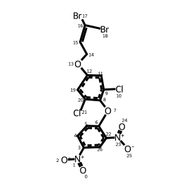 O=[N+]([O-])c1ccc(Oc2c(Cl)cc(OCC=C(Br)Br)cc2Cl)c([N+](=O)[O-])c1